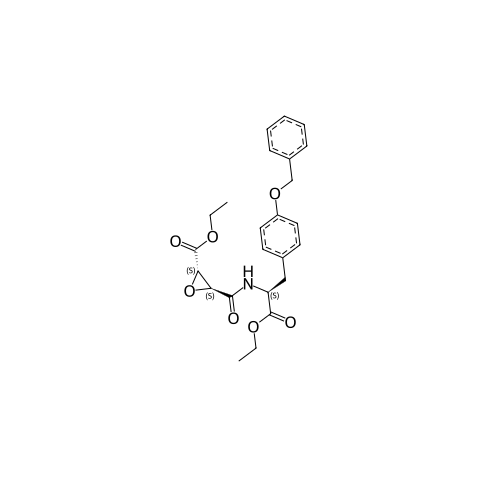 CCOC(=O)[C@H](Cc1ccc(OCc2ccccc2)cc1)NC(=O)[C@H]1O[C@@H]1C(=O)OCC